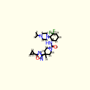 CC(C)N1CCN(C2[C@H](NC(=O)N3CCC(C)(c4noc(C5CC5)n4)CC3)CCCC2(F)F)CC1